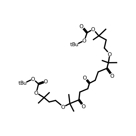 CC(C)(C)OC(=O)OC(C)(C)CCOC(C)(C)C(=O)CCC(=O)CCC(=O)C(C)(C)OCCC(C)(C)OC(=O)OC(C)(C)C